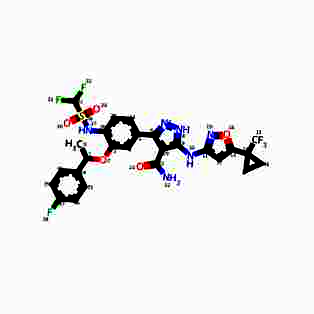 CC(Oc1cc(-c2n[nH]c(Nc3cc(C4(C(F)(F)F)CC4)on3)c2C(N)=O)ccc1NS(=O)(=O)C(F)F)c1ccc(F)cc1